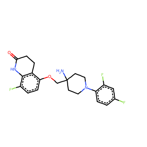 NC1(COc2ccc(F)c3c2CCC(=O)N3)CCN(c2ccc(F)cc2F)CC1